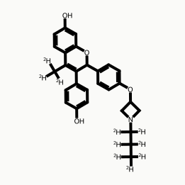 [2H]C([2H])([2H])C1=C(c2ccc(O)cc2)C(c2ccc(OC3CN(C([2H])([2H])C([2H])([2H])C([2H])([2H])[2H])C3)cc2)Oc2cc(O)ccc21